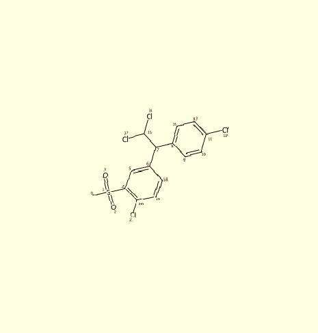 CS(=O)(=O)c1cc(C(c2ccc(Cl)cc2)C(Cl)Cl)ccc1Cl